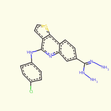 N/N=C(\NN)c1ccc2c(c1)nc(Nc1ccc(Cl)cc1)c1ccsc12